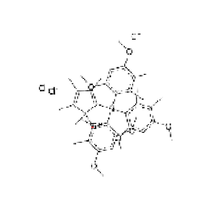 COc1cc(OC)c([Si](C2=C(C)C(C)=C(C)[C]2(C)[Ti+3])(c2c(OC)cc(OC)c(C)c2C)c2c(OC)cc(OC)c(C)c2C)c(C)c1C.[Cl-].[Cl-].[Cl-]